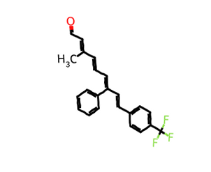 CC(/C=C/C=C(/C=C/c1ccc(C(F)(F)F)cc1)c1ccccc1)=C\C=O